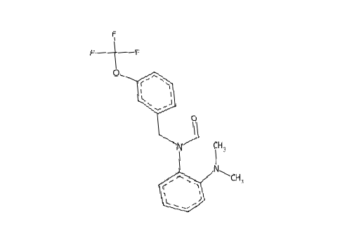 CN(C)c1ccccc1N(C=O)Cc1cccc(OC(F)(F)F)c1